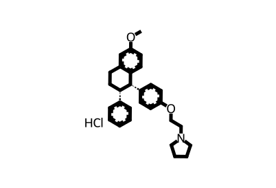 COc1ccc2c(c1)CC[C@@H](c1ccccc1)[C@H]2c1ccc(OCCN2CCCC2)cc1.Cl